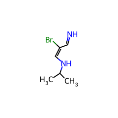 CC(C)N/C=C(/Br)C=N